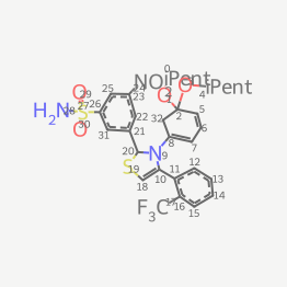 CCCC(C)OC1(OC(C)CCC)C=CC=C(N2C(c3ccccc3C(F)(F)F)=CSC2c2cc([N+](=O)[O-])cc(S(N)(=O)=O)c2)C1